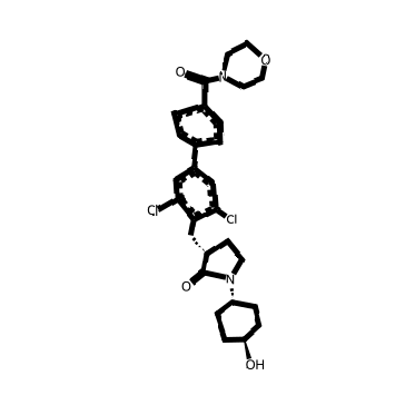 O=C(c1ccc(-c2cc(Cl)c(C[C@@H]3CCN([C@H]4CC[C@H](O)CC4)C3=O)c(Cl)c2)cc1)N1CCOCC1